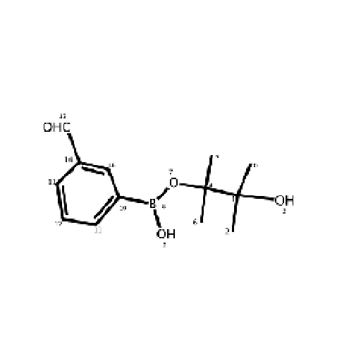 CC(C)(O)C(C)(C)OB(O)c1cccc(C=O)c1